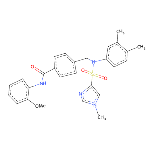 COc1ccccc1NC(=O)c1ccc(CN(c2ccc(C)c(C)c2)S(=O)(=O)c2cn(C)cn2)cc1